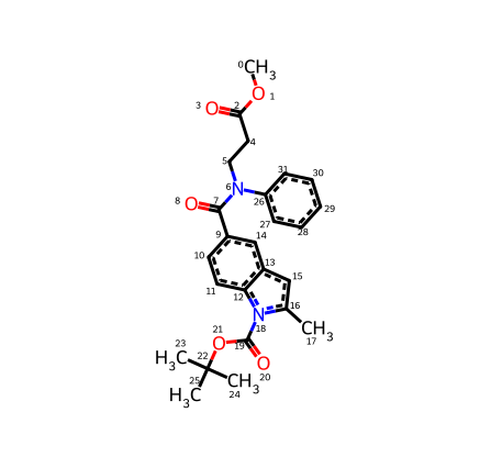 COC(=O)CCN(C(=O)c1ccc2c(c1)cc(C)n2C(=O)OC(C)(C)C)c1ccccc1